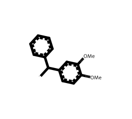 [CH2]C(c1ccccc1)c1ccc(OC)c(OC)c1